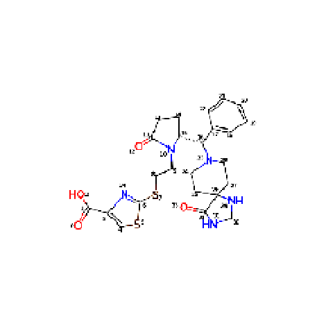 O=C(O)c1csc(SCCN2C(=O)CC[C@@H]2C(c2ccccc2)N2CCC3(CC2)NCNC3=O)n1